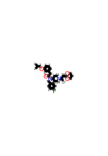 CC(C)COc1cccc(CC(=O)N(Cc2ccc(F)cc2)C2CCN(C(C)CC3OCCCO3)CC2)c1